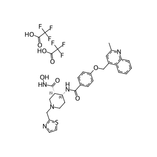 Cc1cc(COc2ccc(C(=O)N[C@@H]3CCN(Cc4nccs4)C[C@@H]3C(=O)NO)cc2)c2ccccc2n1.O=C(O)C(F)(F)F.O=C(O)C(F)(F)F